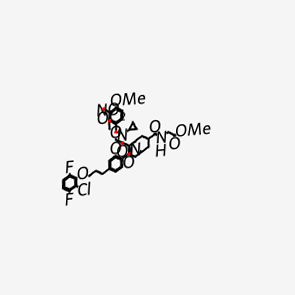 COC(=O)CNC(=O)C1CC2CC(c3ccc(CCCOc4c(F)ccc(F)c4Cl)cc3)=C(C(=O)N(Cc3ccc(OC)c(C)c3)C3CC3)C(C1)N2C(=O)OCCOCCO[N+](=O)[O-]